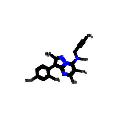 CC#CCN(CCC)c1c(C)c(CCC)nc2c(-c3ccc(OC)cc3C)c(C)nn12